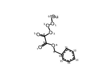 CC(C)(C)OOOC(=O)C(=O)OCc1ccccc1